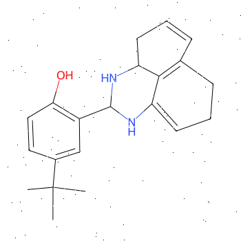 CC(C)(C)c1ccc(O)c(C2NC3=CCCC4=C3C(CC=C4)N2)c1